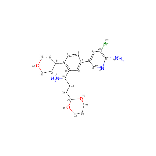 Nc1ncc(-c2ccc(C3CCOCC3)c([C@@H](N)CCC3OCCCO3)c2)cc1Br